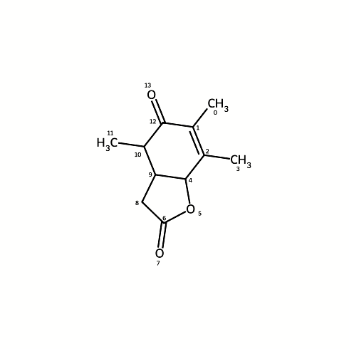 CC1=C(C)C2OC(=O)CC2C(C)C1=O